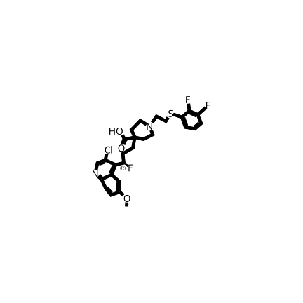 COc1ccc2ncc(Cl)c([C@H](F)CCC3(C(=O)O)CCN(CCSc4cccc(F)c4F)CC3)c2c1